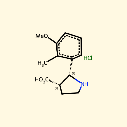 COc1cccc([C@@H]2NCC[C@@H]2C(=O)O)c1C.Cl